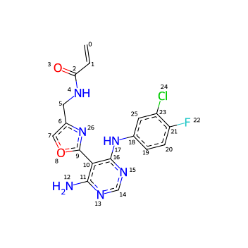 C=CC(=O)NCc1coc(-c2c(N)ncnc2Nc2ccc(F)c(Cl)c2)n1